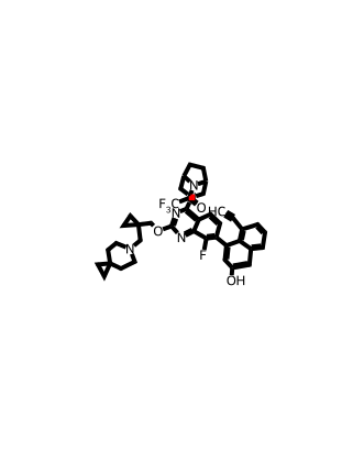 C#Cc1cccc2cc(O)cc(-c3ccc4c(N5CC6CCC(C5)N6C(=O)C(F)(F)F)nc(OCC5(CN6CCC7(CC6)CC7)CC5)nc4c3F)c12